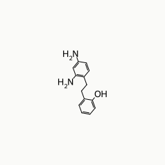 Nc1ccc(CCc2ccccc2O)c(N)c1